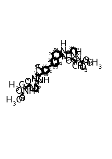 COC(=O)N[C@@H](C)C(=O)N1CCC[C@H]1c1ncc(-c2ccc(-c3ccc4c(c3)CCc3[nH]c([C@@H]5CCCN5C(=O)[C@H](C)NC(=O)OC)nc3-4)cc2F)[nH]1